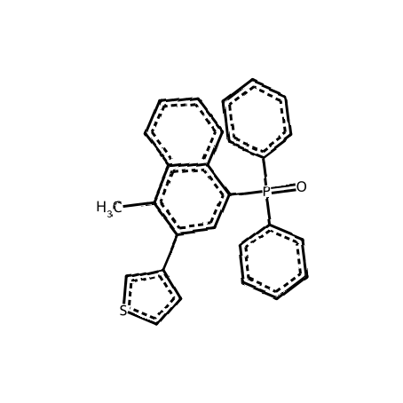 Cc1c(-c2ccsc2)cc(P(=O)(c2ccccc2)c2ccccc2)c2ccccc12